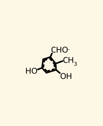 Cc1c(O)cc(O)cc1[C]=O